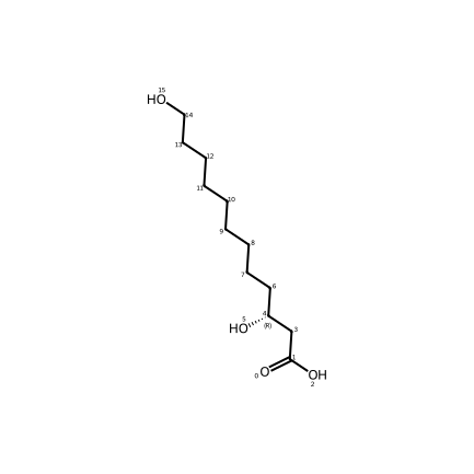 O=C(O)C[C@H](O)CCCCCCCCCO